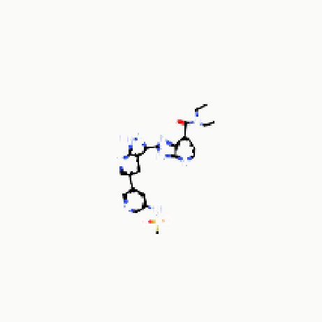 CCN(CC)C(=O)c1ccnc2[nH]c(-c3n[nH]c4ncc(-c5cncc(NS(C)(=O)=O)c5)cc34)nc12